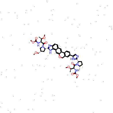 COC[C@H]1C[C@@H](c2nc3ccc4cc5c(cc4c3[nH]2)OCc2cc(-c3cnc([C@@H]4CC[C@H](C)N4C(=O)[C@@H](NC(=O)OC)[C@@H](C)OC)[nH]3)ccc2-5)N(C(=O)[C@@H](NC(=O)OC)[C@@H](C)OC)C1